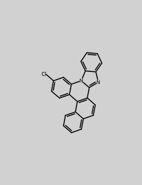 Clc1ccc2c3c4ccccc4ccc3c3nc4ccccc4n3c2c1